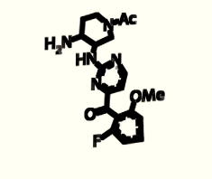 COc1cccc(F)c1C(=O)c1ccnc(NC2CN(C(C)=O)CCC2N)n1